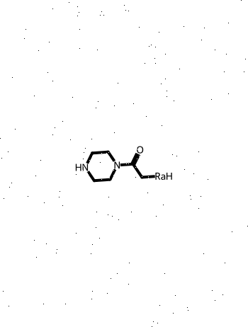 O=C([CH2][RaH])N1CCNCC1